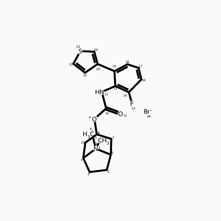 C[N+]1(C)C2CCC1CC(OC(=O)Nc1c(F)cccc1-c1ccsc1)C2.[Br-]